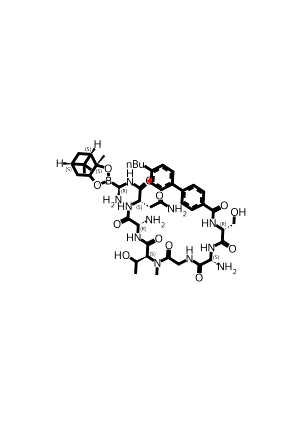 CCCCc1ccc(-c2ccc(C(=O)N[C@H](CO)C(=O)N[C@H](N)C(=O)NCC(=O)N(C)[C@H](C(=O)N[C@@H](N)C(=O)N[C@@H](CC(N)=O)C(=O)N[C@@H](N)B3OC4C[C@@H]5C[C@@H](C5(C)C)[C@]4(C)O3)C(C)O)cc2)cc1